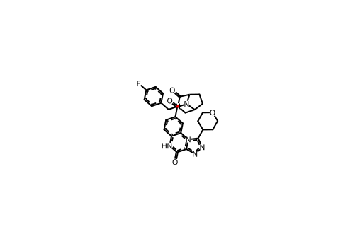 O=C1C2CCC(CN1Cc1ccc(F)cc1)N2C(=O)c1ccc2[nH]c(=O)c3nnc(C4CCOCC4)n3c2c1